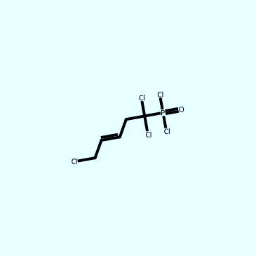 O=P(Cl)(Cl)C(Cl)(Cl)CC=CCCl